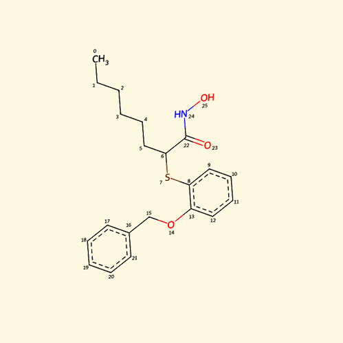 CCCCCCC(Sc1ccccc1OCc1ccccc1)C(=O)NO